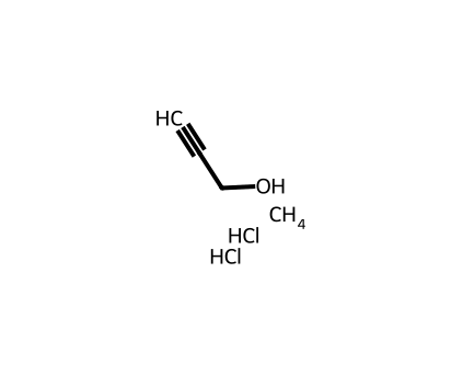 C.C#CCO.Cl.Cl